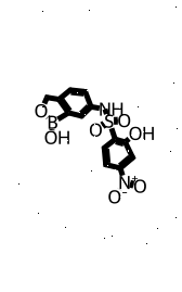 O=[N+]([O-])c1ccc(S(=O)(=O)Nc2ccc3c(c2)B(O)OC3)c(O)c1